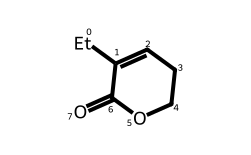 CCC1=CCCOC1=O